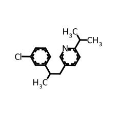 CC(C)c1ccc(CC(C)c2cccc(Cl)c2)cn1